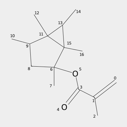 C=C(C)C(=O)OC1(C)CC(C)C2(C)C(C)C12C